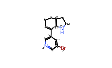 Brc1cncc(C2=CCCC3CCNC23)c1